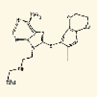 CC(C)(C)CNCCn1c(Sc2cc3c(cc2I)OCCO3)nc2c(N)ncnc21